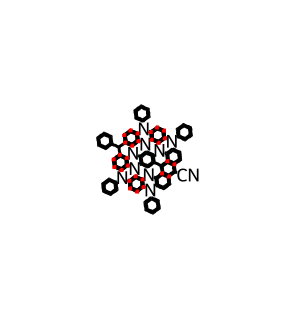 N#Cc1ccc(-c2c(N3c4ccccc4N(c4ccccc4)c4ccccc43)c(N3c4ccccc4N(c4ccccc4)c4ccccc43)c(N3c4ccccc4C(c4ccccc4)c4ccccc43)c(N3c4ccccc4N(c4ccccc4)c4ccccc43)c2N2c3ccccc3N(c3ccccc3)c3ccccc32)cc1